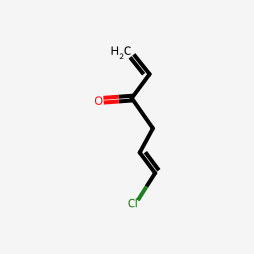 C=CC(=O)CC=CCl